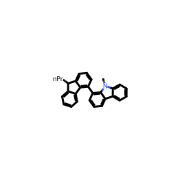 CCCC1c2ccccc2-c2c(-c3cccc4c5ccccc5n(C)c34)cccc21